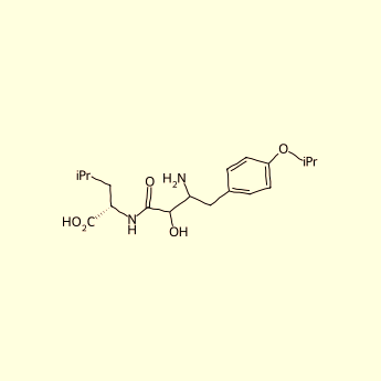 CC(C)C[C@H](NC(=O)C(O)C(N)Cc1ccc(OC(C)C)cc1)C(=O)O